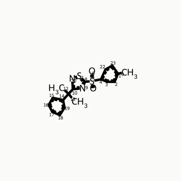 Cc1ccc(S(=O)(=O)c2nc(C(C)(C)c3ccccc3)ns2)cc1